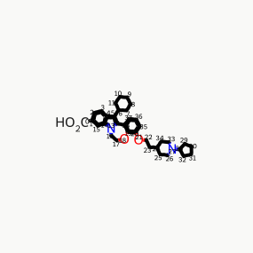 O=C(O)c1ccc2c(C3CCCCC3)c3n(c2c1)CCOc1c(OCCC2CCN(C4CCCC4)CC2)cccc1-3